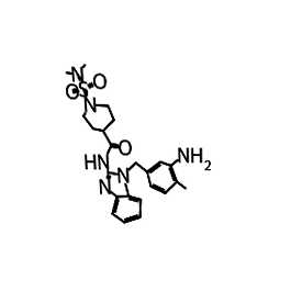 Cc1ccc(Cn2c(NC(=O)C3CCN(S(=O)(=O)N(C)C)CC3)nc3ccccc32)cc1N